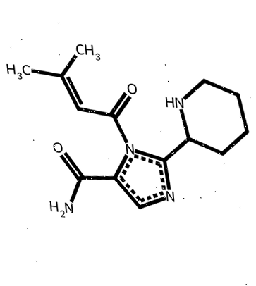 CC(C)=CC(=O)n1c(C(N)=O)cnc1C1CCCCN1